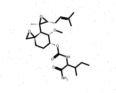 CCC(C)C(NC(=O)O[C@@H]1CC[C@]2(CO2)[C@@H]([C@@]2(C)O[C@@H]2CC=C(C)C)[C@@H]1OC)C(N)=O